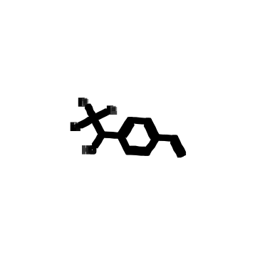 C=Cc1ccc(C(O)C(CC)(CC)CC)cc1